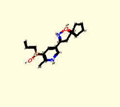 CCC[S+]([O-])c1cc(C2=NOC3(CCCC3)C2)cnc1C